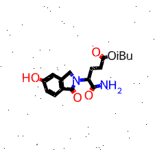 CC(C)COC(=O)CCC(C(N)=O)N1Cc2cc(O)ccc2C1=O